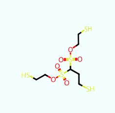 O=S(=O)(OCCS)C(CCS)S(=O)(=O)OCCS